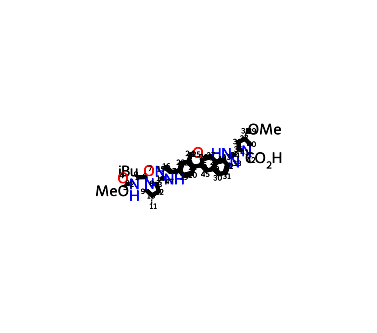 CC[C@@H](C)[C@H](NC(=O)OC)C(=O)N1C[C@@H](C)C[C@H]1c1ncc(-c2ccc3c(c2)COc2cc4c(ccc5nc([C@@H]6C[C@H](COC)CN6C(=O)O)[nH]c54)cc2-3)[nH]1